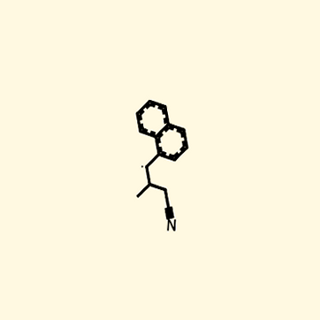 CC([CH]c1cccc2ccccc12)CC#N